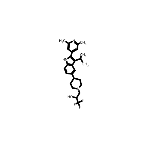 Cc1cc(-c2[nH]c3ccc(C4CCN(CC(O)C(F)(F)F)CC4)cc3c2C(C)C)cc(C)n1